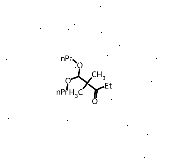 CCCOC(OCCC)C(C)(C)C(=O)CC